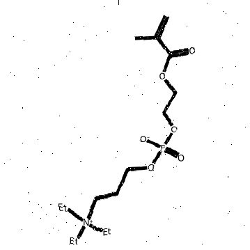 C=C(C)C(=O)OCCOP(=O)([O-])OCCC[N+](CC)(CC)CC